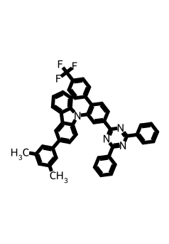 Cc1cc(C)cc(-c2ccc3c(c2)c2ccccc2n3-c2cc(-c3nc(-c4ccccc4)nc(-c4ccccc4)n3)ccc2-c2ccc(C(F)(F)F)cc2)c1